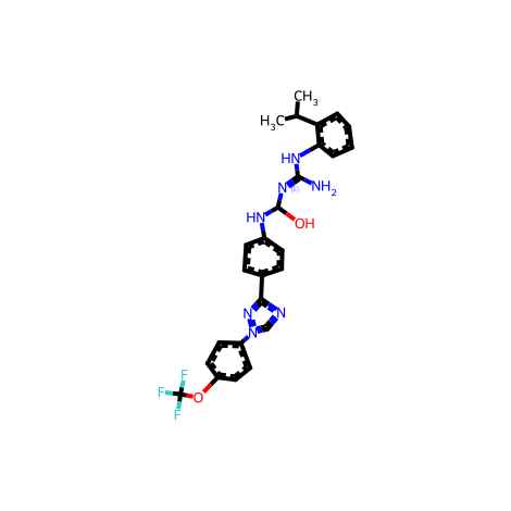 CC(C)c1ccccc1N/C(N)=N/C(O)Nc1ccc(-c2ncn(-c3ccc(OC(F)(F)F)cc3)n2)cc1